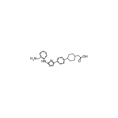 NCc1ccccc1Nc1nc(-c2ccc(C3CCC(CC(=O)O)CC3)cc2)cs1